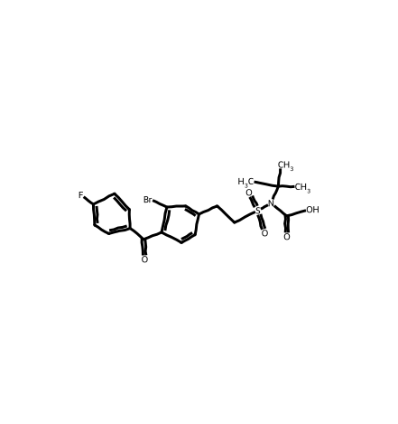 CC(C)(C)N(C(=O)O)S(=O)(=O)CCc1ccc(C(=O)c2ccc(F)cc2)c(Br)c1